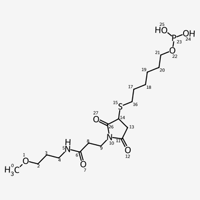 COCCCNC(=O)CCN1C(=O)CC(SCCCCCCOP(O)O)C1=O